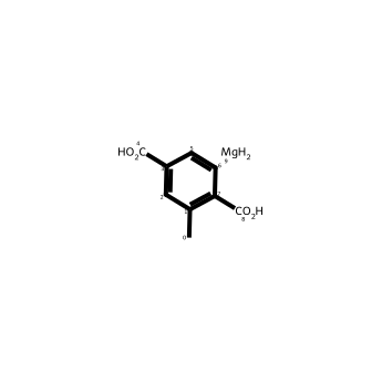 Cc1cc(C(=O)O)ccc1C(=O)O.[MgH2]